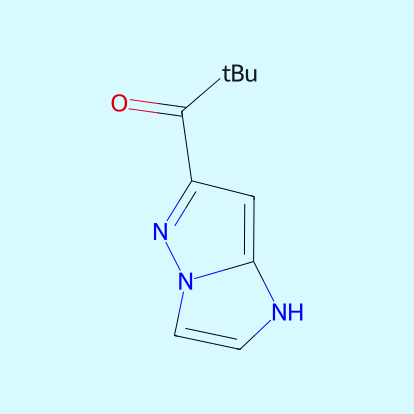 CC(C)(C)C(=O)c1cc2[nH]ccn2n1